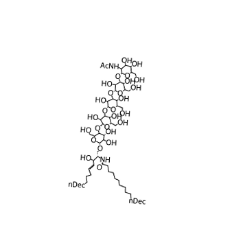 CCCCCCCCCCCCC/C=C/[C@@H](O)[C@H](CO[C@@H]1OC(CO)[C@@H](O[C@@H]2OC(CO)[C@H](O)[C@H](O[C@H]3OC(CO)[C@H](O)[C@H](O[C@H]4OC(CO)[C@H](O)[C@H](O[C@@H]5OC(CO)[C@H](O)[C@H](O)C5NC(C)=O)C4O)C3O)C2O)[C@H](O)C1O)NC(=O)CCCCCCCCCCCCCCCCCCC